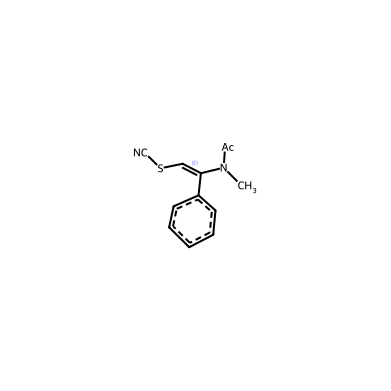 CC(=O)N(C)/C(=C/SC#N)c1ccccc1